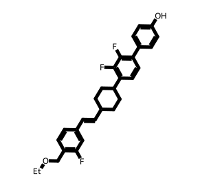 CCOCc1ccc(/C=C/C2CCC(c3ccc(-c4ccc(O)cc4)c(F)c3F)CC2)cc1F